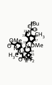 COC(=O)c1ccc([C@H]2CC3(CCN2Cc2c(OC)cc(C)c4c2ccn4C(=O)OC(C)(C)C)CC(F)(F)C3)c(N(C)CC(N)=O)n1